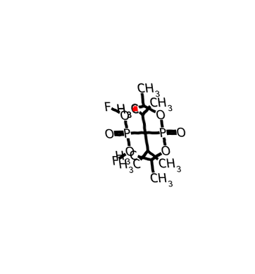 CC(C)OP(=O)(OC(C)C)C(C(C)C)(C(C)C)P(=O)(OF)OF